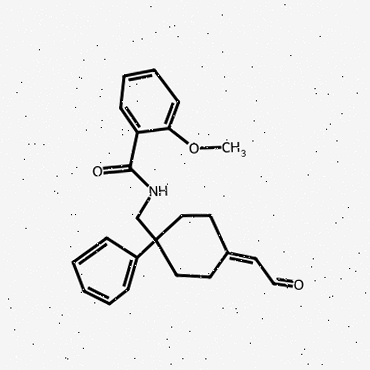 COc1ccccc1C(=O)NCC1(c2ccccc2)CCC(=CC=O)CC1